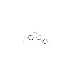 C[C@H]([C@H](O)c1cc(F)c(O)c(F)c1)N1CCC(O)(c2ccc(F)cc2)CC1